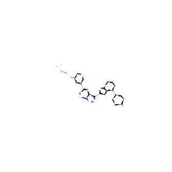 CN(C)CCOc1cncc(-c2cnc3[nH]nc(-c4cc5c(-c6ccc(F)cc6)cccc5[nH]4)c3c2)c1